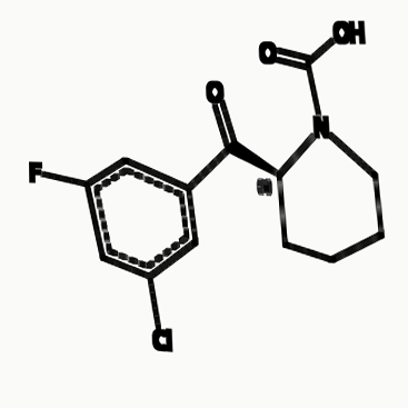 O=C(c1cc(F)cc(Cl)c1)[C@@H]1CCCCN1C(=O)O